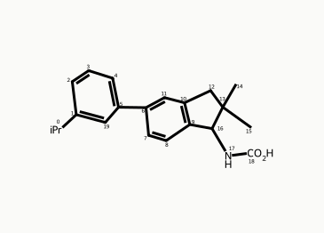 CC(C)c1cccc(-c2ccc3c(c2)CC(C)(C)C3NC(=O)O)c1